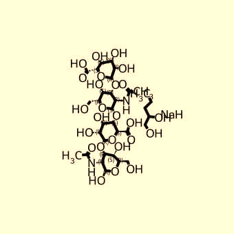 CC(=O)N[C@@H]1[C@@H](O[C@@H]2O[C@H](C(=O)O)[C@@H](O[C@@H]3O[C@H](CO)[C@@H](O)[C@H](O[C@@H]4O[C@H](C(=O)O)[C@@H](O)[C@H](O)[C@H]4O)[C@H]3NC(C)=O)[C@H](O)[C@H]2O)[C@H](O)[C@@H](CO)O[C@H]1O.CCCC(O)CO.[NaH]